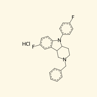 Cl.Fc1ccc(N2c3ccc(F)cc3C3CN(Cc4ccccc4)CCC32)cc1